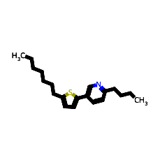 CCCCCCCc1ccc(-c2ccc(CCCC)nc2)s1